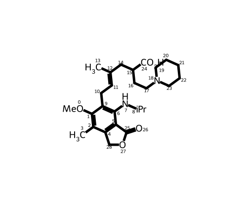 COc1c(C)c2c(c(NC(C)C)c1C/C=C(\C)CC(CCN1CCCCC1)C(=O)O)C(=O)OC2